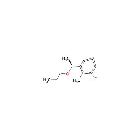 CCCO[C@@H](C)c1cccc(F)c1C